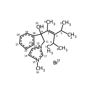 CC(=C(C(C)C)C(C)C)C(O)(Cn1cc[n+](C)c1)c1ccccc1.[Br-]